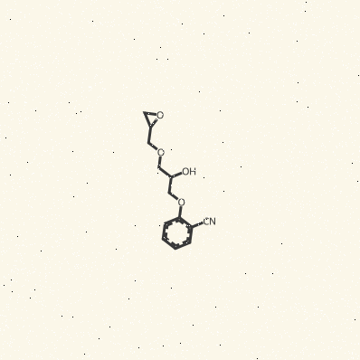 N#Cc1ccccc1OCC(O)COCC1CO1